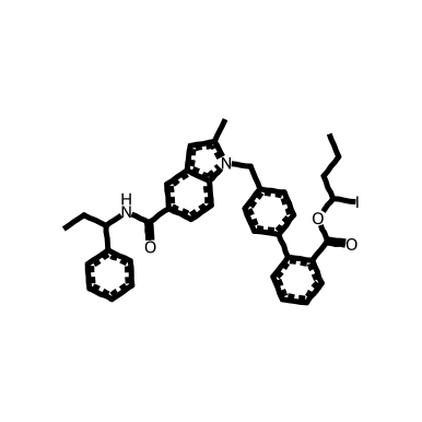 CCCC(I)OC(=O)c1ccccc1-c1ccc(Cn2c(C)cc3cc(C(=O)NC(CC)c4ccccc4)ccc32)cc1